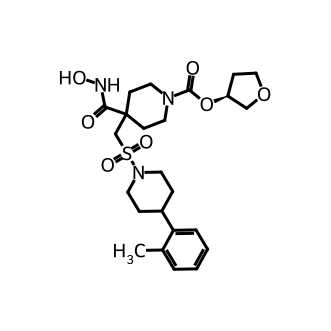 Cc1ccccc1C1CCN(S(=O)(=O)CC2(C(=O)NO)CCN(C(=O)O[C@H]3CCOC3)CC2)CC1